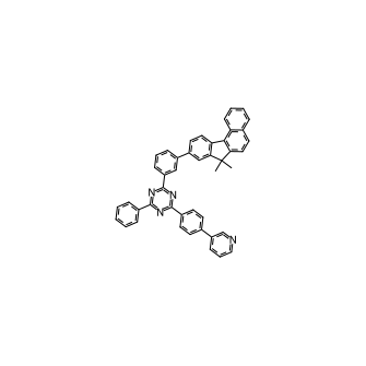 CC1(C)c2cc(-c3cccc(-c4nc(-c5ccccc5)nc(-c5ccc(-c6cccnc6)cc5)n4)c3)ccc2-c2c1ccc1ccccc21